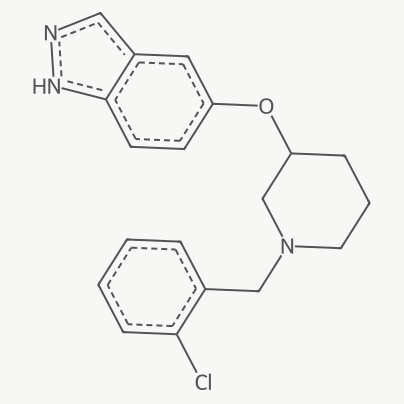 Clc1ccccc1CN1CCCC(Oc2ccc3[nH]ncc3c2)C1